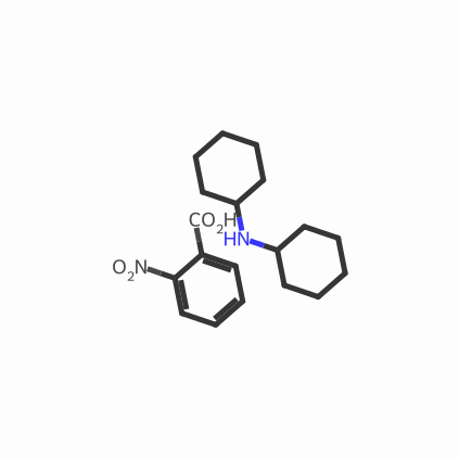 C1CCC(NC2CCCCC2)CC1.O=C(O)c1ccccc1[N+](=O)[O-]